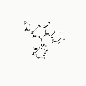 C1=CC2=CC=C1C2.Cc1nc(NN)nc(=O)n1-c1ccccc1